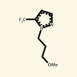 COCCCn1nccc1C(F)(F)F